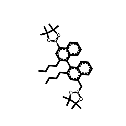 CCCCc1cc(CB2OC(C)(C)C(C)(C)O2)c2ccccc2c1-c1c(CCCC)cc(B2OC(C)(C)C(C)(C)O2)c2ccccc12